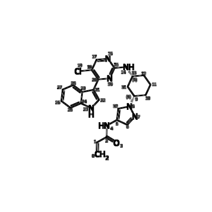 C=CC(=O)Nc1cnn([C@H]2CCC[C@@H](Nc3ncc(Cl)c(-c4c[nH]c5ccccc45)n3)C2)c1